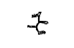 COC(=O)C([C]=O)C(C)=O